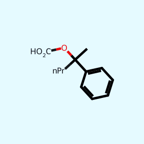 CCCC(C)(OC(=O)O)c1ccccc1